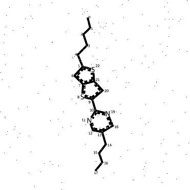 CCCCCc1cc2sc(-c3ncc(CCCC)cn3)cc2s1